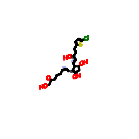 O=C(CO)CCC/C=C\C[C@H]1C(O)CC(O)C1/C=C/[C@H](O)CCc1ccc(Cl)s1